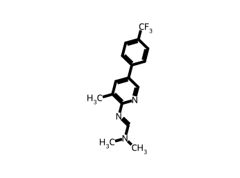 Cc1cc(-c2ccc(C(F)(F)F)cc2)cnc1/N=C/N(C)C